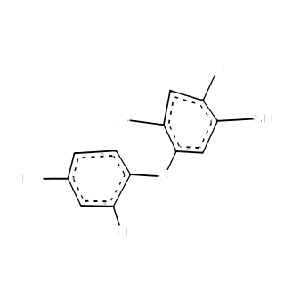 Nc1cc(Oc2ccc(C(F)(F)F)cc2Cl)c(Cl)cc1Cl